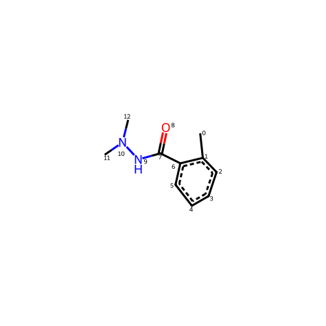 Cc1ccccc1C(=O)NN(C)C